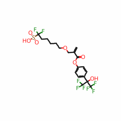 C=C(COCCCCCC(F)(F)S(=O)(=O)O)C(=O)Oc1ccc(C(O)(C(F)(F)F)C(F)(F)F)cc1